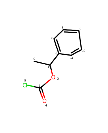 CC(OC(=O)Cl)c1ccccc1